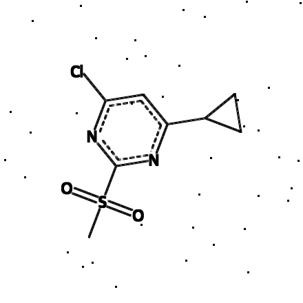 CS(=O)(=O)c1nc(Cl)cc(C2CC2)n1